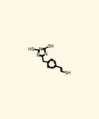 SC=Cc1ccc(Cc2nc(S)nc(S)n2)cc1